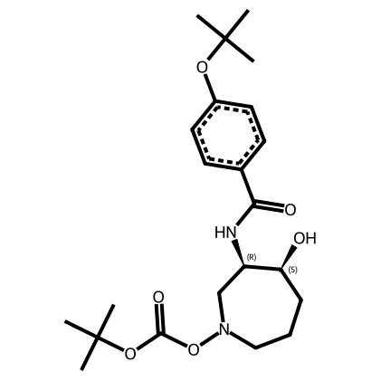 CC(C)(C)OC(=O)ON1CCC[C@H](O)[C@H](NC(=O)c2ccc(OC(C)(C)C)cc2)C1